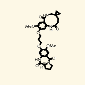 COc1cc2c(cc1OCCCOc1cc3c(cc1OC)C(=O)N1CCC[C@H]1C(=O)N3)NC(=O)CCC1(CC1)CNC2=O